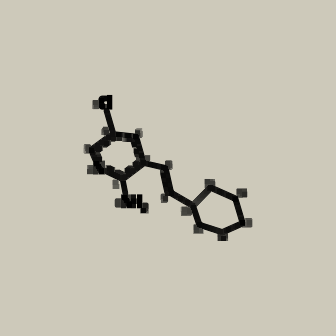 Nc1ncc(Cl)cc1C=CC1CCCCC1